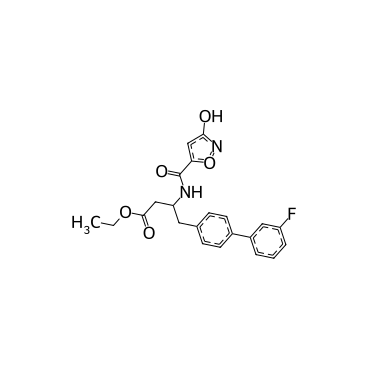 CCOC(=O)CC(Cc1ccc(-c2cccc(F)c2)cc1)NC(=O)c1cc(O)no1